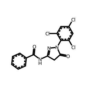 O=C(NC1=NN(c2c(Cl)cc(Cl)cc2Cl)C(=O)C1)c1ccccc1